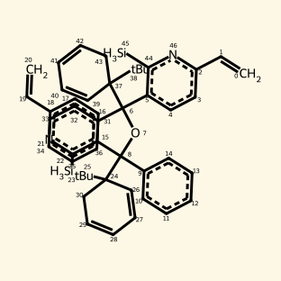 C=Cc1ccc(C(OC(c2ccccc2)(c2ccc(C=C)nc2[SiH3])C2(C(C)(C)C)C=CC=CC2)(c2ccccc2)C2(C(C)(C)C)C=CC=CC2)c([SiH3])n1